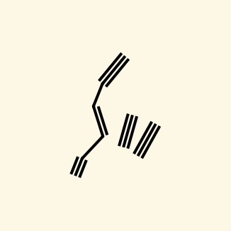 C#C.C#C.C#CC=CC#C